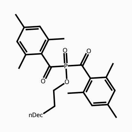 CCCCCCCCCCCCOP(=O)(C(=O)c1c(C)cc(C)cc1C)C(=O)c1c(C)cc(C)cc1C